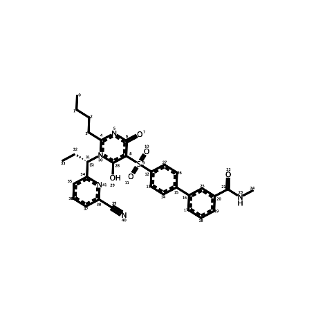 CCCCc1nc(=O)c(S(=O)(=O)c2ccc(-c3cccc(C(=O)NC)c3)cc2)c(O)n1[C@@H](CC)c1cccc(C#N)n1